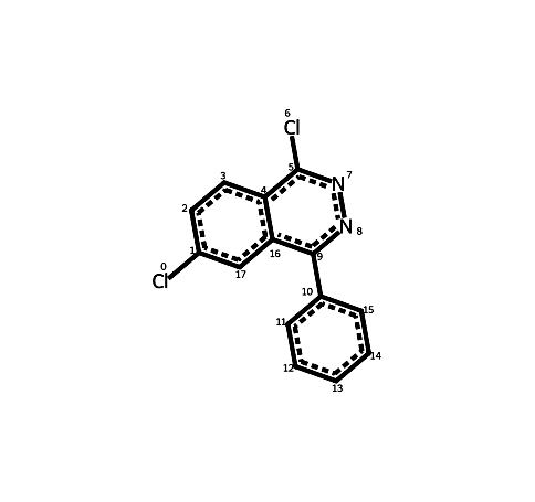 Clc1ccc2c(Cl)nnc(-c3ccccc3)c2c1